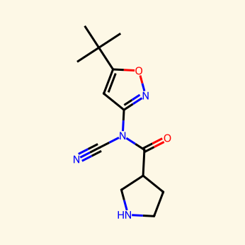 CC(C)(C)c1cc(N(C#N)C(=O)C2CCNC2)no1